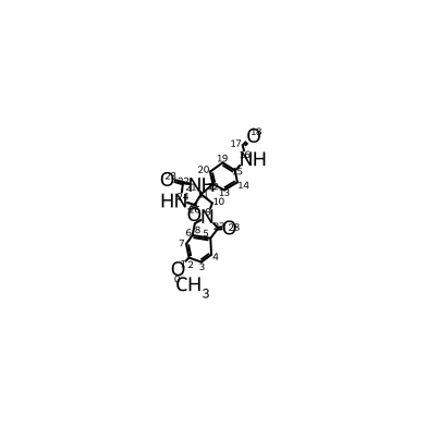 COc1ccc2c(c1)CN(CC1(c3ccc(NC=O)cc3)NC(=O)NC1=O)C2=O